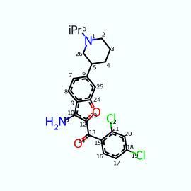 CC(C)N1CCCC(c2ccc3c(N)c(C(=O)c4ccc(Cl)cc4Cl)oc3c2)C1